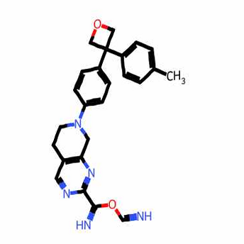 Cc1ccc(C2(c3ccc(N4CCc5cnc(C(=N)OC=N)nc5C4)cc3)COC2)cc1